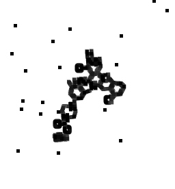 Cc1cc(N2CCN(C(=O)OC(C)(C)C)CC2)cc(C)c1Nc1nc(Cc2c(Cl)cccc2Cl)cc2cn[nH]c(=O)c12